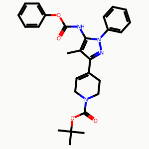 Cc1c(C2=CCN(C(=O)OC(C)(C)C)CC2)nn(-c2ccccc2)c1NC(=O)Oc1ccccc1